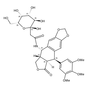 COc1cc([C@@H]2c3cc4c(cc3[C@@H](NC(=O)C[C@]3(O)O[C@H](CO)[C@H](O)[C@H](O)[C@H]3O)[C@H]3COC(=O)[C@H]23)OCO4)cc(OC)c1OC